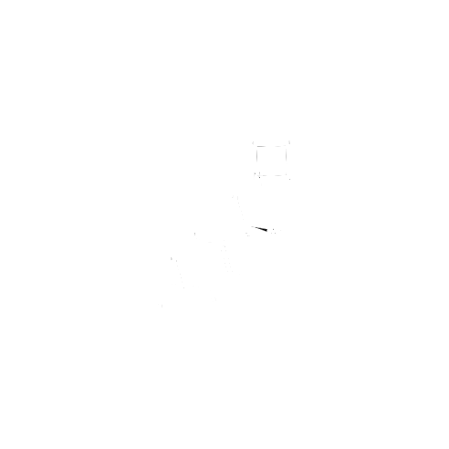 CC(=O)[C@H](CN1CCC1)c1ccc(C)cc1